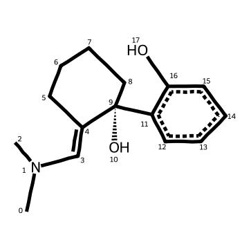 CN(C)C=C1CCCC[C@@]1(O)c1ccccc1O